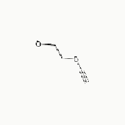 C#COCC[O]